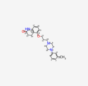 Cc1cccc(N2CCN(CCCOc3cccc4c3CCC(=O)N4)CC2)c1